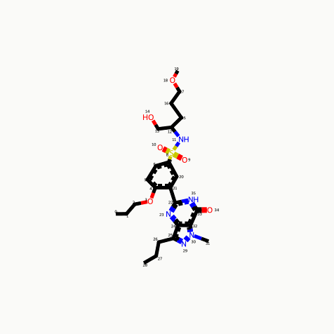 CCCOc1ccc(S(=O)(=O)NC(CO)CCCOC)cc1-c1nc2c(CCC)nn(C)c2c(=O)[nH]1